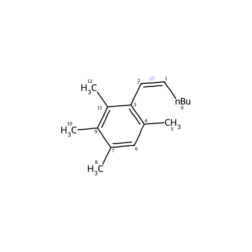 CCCC/C=[C]\c1c(C)cc(C)c(C)c1C